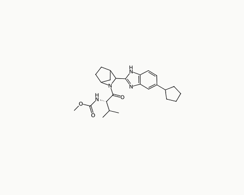 COC(=O)N[C@H](C(=O)N1C2CCC(C2)C1c1nc2cc(C3CCCC3)ccc2[nH]1)C(C)C